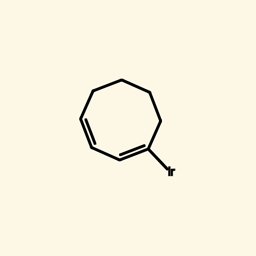 [Ir][C]1=CC=CCCCC1